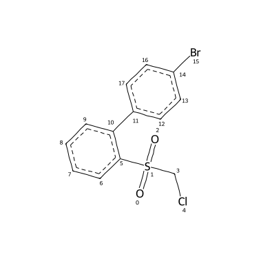 O=S(=O)(CCl)c1ccccc1-c1ccc(Br)cc1